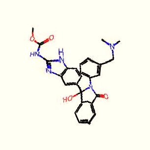 COC(=O)Nc1nc2cc(C3(O)c4ccccc4C(=O)N3c3cccc(CN(C)C)c3)ccc2[nH]1